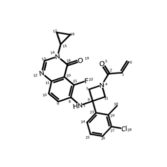 C=CC(=O)N1CC(Nc2ccc3ncn(C4CC4)c(=O)c3c2F)(c2cccc(Cl)c2C)C1